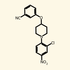 N#Cc1cccc(OC2CCN(c3ccc([N+](=O)[O-])cc3Cl)CC2)c1